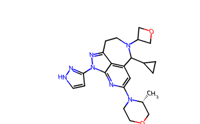 C[C@@H]1COCCN1c1cc2c3c(nn(-c4cc[nH]n4)c3n1)CCN(C1COC1)C2C1CC1